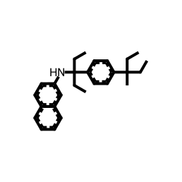 CCC(C)(CC)c1ccc(C(CC)(CC)Nc2ccc3ccccc3c2)cc1